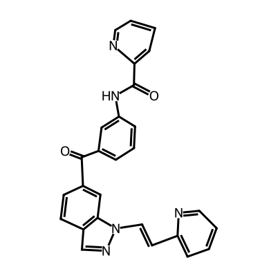 O=C(c1cccc(NC(=O)c2ccccn2)c1)c1ccc2cnn(C=Cc3ccccn3)c2c1